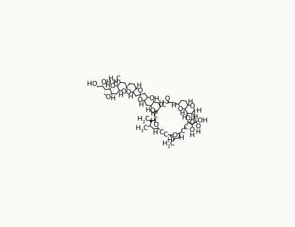 C=C1C[C@@H]2CC[C@]34OC([C@@H]5O[C@H]6CC[C@H](CC(=O)C[C@@H]7C[C@@H]8OC9C[C@]%10(C[C@@H]%11O[C@@]%12(CC[C@@H]%11O%10)C[C@H](C)[C@@H]%10O[C@@H]%11[C@@H]([C@@H](O)CO)CO[C@@H]%11C[C@@H]%10O%12)O[C@@H]9C[C@@H]8O[C@H]7C[C@H]7O[C@@H](CC[C@@H]1O2)C[C@@H](C)C7=C)O[C@@H]6[C@H](O3)[C@@H]5I)C(O)(O)C4O